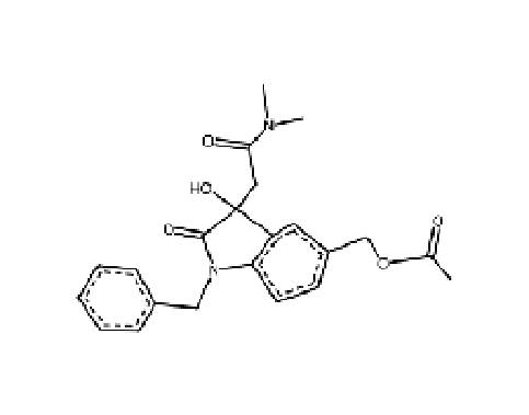 CC(=O)OCc1ccc2c(c1)C(O)(CC(=O)N(C)C)C(=O)N2Cc1ccccc1